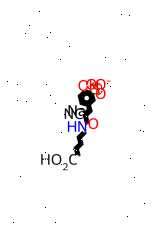 N#C/C(=C\c1ccc(O)c(S(=O)(=O)[O-])c1)C(=O)NCCCCCC(=O)O.[Na+]